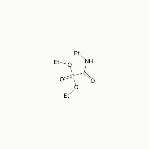 CCNC(=O)P(=O)(OCC)OCC